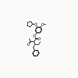 CCC(Cc1ccccc1)C(C(C)=O)C(=O)Oc1ccc(OC)c(OC2CCCC2)c1